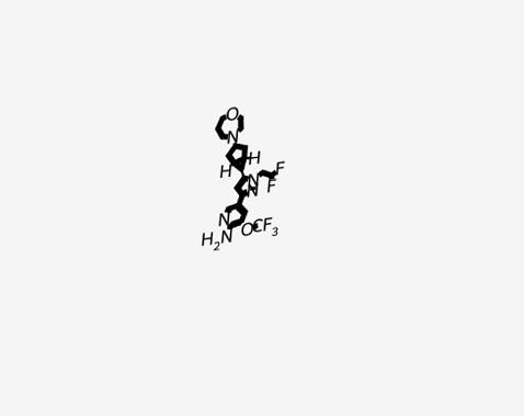 Nc1ncc(-c2cc([C@H]3[C@@H]4C[C@@H](N5CCCOCC5)C[C@@H]43)n(CC(F)F)n2)cc1OC(F)(F)F